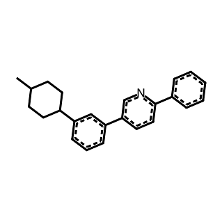 CC1CCC(c2cccc(-c3ccc(-c4ccccc4)nc3)c2)CC1